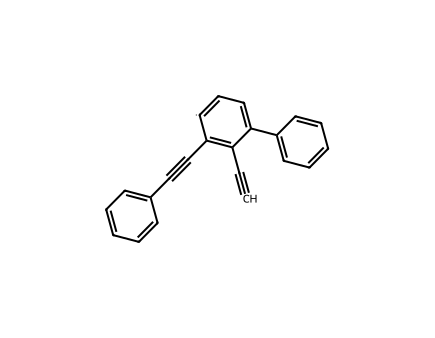 C#Cc1c(C#Cc2ccccc2)[c]ccc1-c1ccccc1